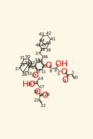 C=CC(=O)OCC(O)COc1cc(OCC(O)COC(=O)C=C)c(C23CC4CC(CC(C4)C2)C3)cc1CCC1CC2CCCC(C2)C1